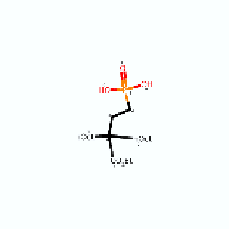 CCCCCCCCC(CCCCCCCC)(CCP(=O)(O)O)C(=O)OCC